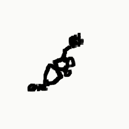 BNCC1CC2(CCN(C=O)CC2)C(=O)O1